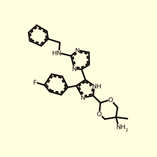 CC1(N)COC(c2nc(-c3ccc(F)cc3)c(-c3ccnc(NCc4ccccc4)n3)[nH]2)OC1